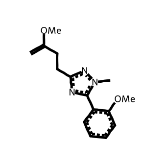 C=C(CCc1nc(-c2ccccc2OC)n(C)n1)OC